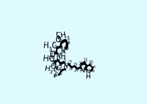 COc1cccnc1C(C)C(=O)NC(CCN(CCCCc1ccc2c(n1)NCCC2)CC(CF)OC)C(=O)O